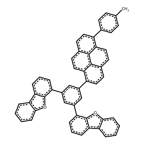 Cc1ccc(-c2ccc3ccc4c(-c5cc(-c6cccc7c6oc6ccccc67)cc(-c6cccc7c6oc6ccccc67)c5)ccc5ccc2c3c54)cc1